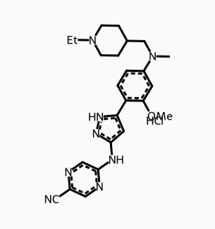 CCN1CCC(CN(C)c2ccc(-c3cc(Nc4cnc(C#N)cn4)n[nH]3)c(OC)c2)CC1.Cl